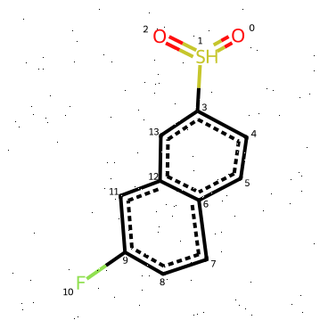 O=[SH](=O)c1ccc2ccc(F)cc2c1